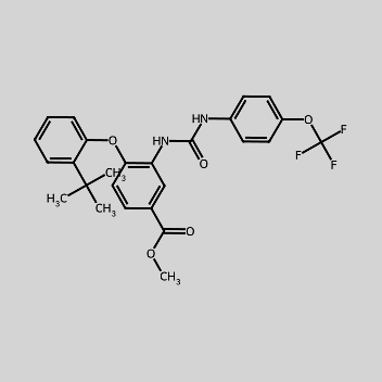 COC(=O)c1ccc(Oc2ccccc2C(C)(C)C)c(NC(=O)Nc2ccc(OC(F)(F)F)cc2)c1